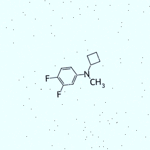 CN(c1ccc(F)c(F)c1)C1CCC1